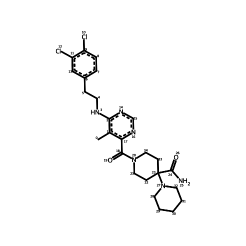 Cc1c(NCCc2ccc(Cl)c(Cl)c2)ncnc1C(=O)N1CCC(C(N)=O)(N2CCCCC2)CC1